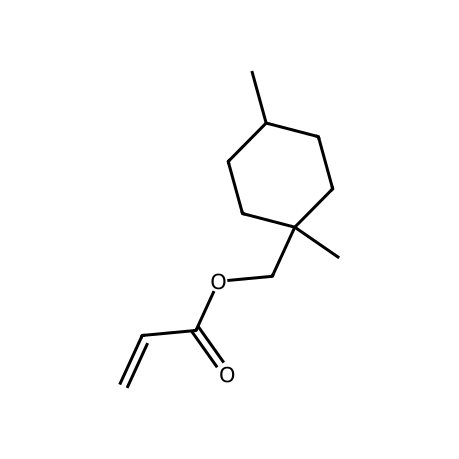 C=CC(=O)OCC1(C)CCC(C)CC1